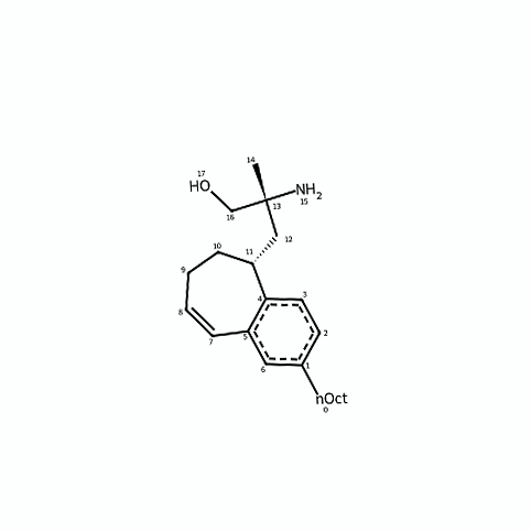 CCCCCCCCc1ccc2c(c1)C=CCC[C@@H]2C[C@@](C)(N)CO